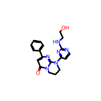 O=c1cc(-c2ccccc2)nc2n1CCCN2c1ccnc(NCCO)n1